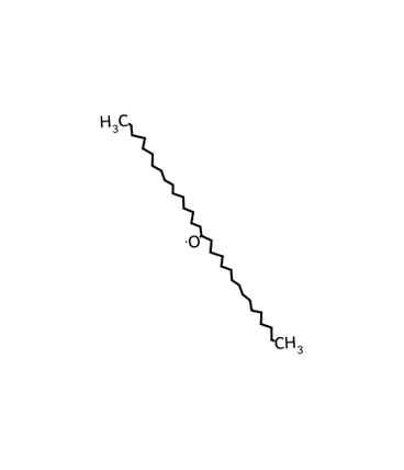 CCCCCCCCCCCCCCCCC([O])CCCCCCCCCCCCCCC